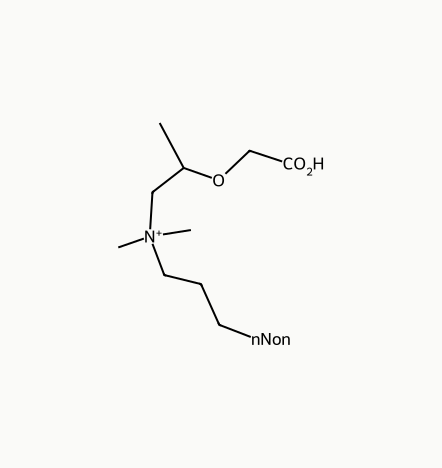 CCCCCCCCCCCC[N+](C)(C)CC(C)OCC(=O)O